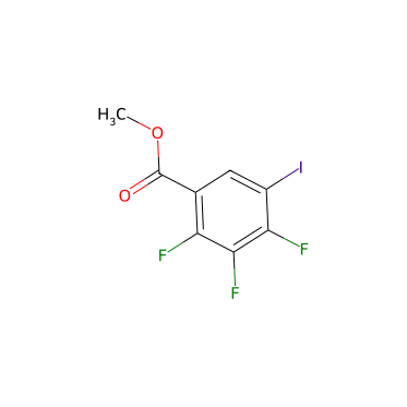 COC(=O)c1cc(I)c(F)c(F)c1F